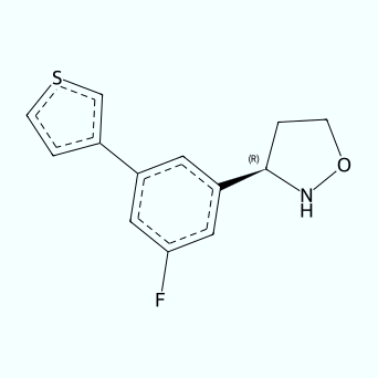 Fc1cc(-c2ccsc2)cc([C@H]2CCON2)c1